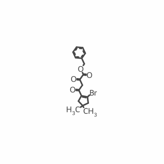 CC1(C)CC(Br)=C(C(=O)CC(=O)C(=O)OCc2ccccc2)C1